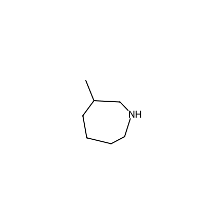 CC1CCCCNC1